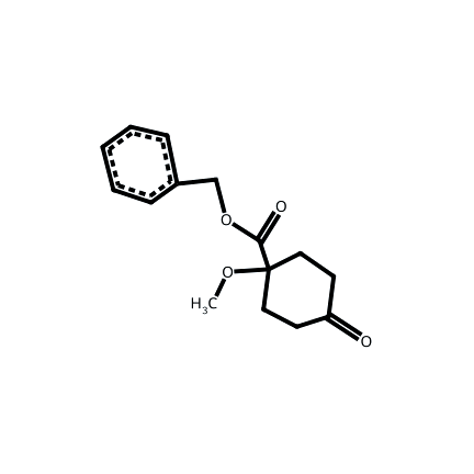 COC1(C(=O)OCc2ccccc2)CCC(=O)CC1